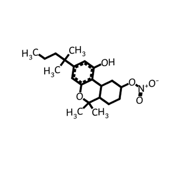 CCCC(C)(C)c1cc(O)c2c(c1)OC(C)(C)C1CCC(O[N+](=O)[O-])CC21